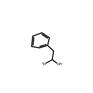 [2H]C(CCC)Cc1ccccc1